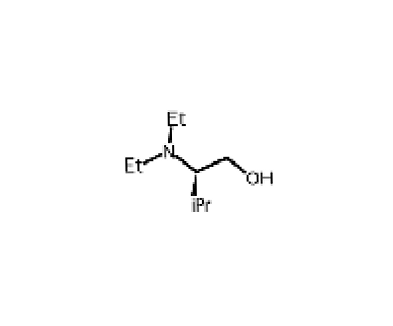 CCN(CC)[C@@H](CO)C(C)C